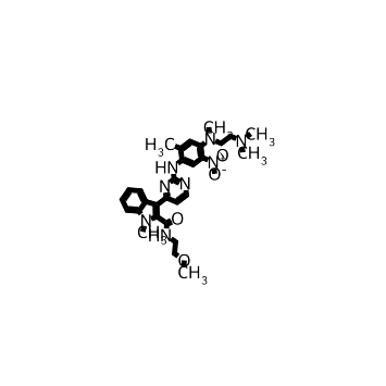 COCCNC(=O)c1c(-c2ccnc(Nc3cc([N+](=O)[O-])c(N(C)CCN(C)C)cc3C)n2)c2ccccc2n1C